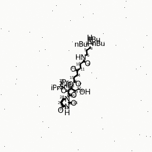 CCCC[PH](CCCC)(CCCC)CCCNC(=O)CCC(=O)CCC(=O)O[C@@H]1C(O[Si](C(C)C)(C(C)C)C(C)C)[C@H](n2ccc(=O)[nH]c2=O)O[C@@H]1CO